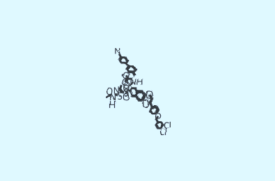 COC(=O)[C@H](Cc1ccc(-c2ccc(C#N)cc2)cc1)NC(=O)[C@@H]1Cc2cc3c(cc2CN1S(=O)(=O)c1sc(NC(C)=O)nc1C)OC(c1ccc(OCc2ccc(Cl)c(Cl)c2)cc1)CO3